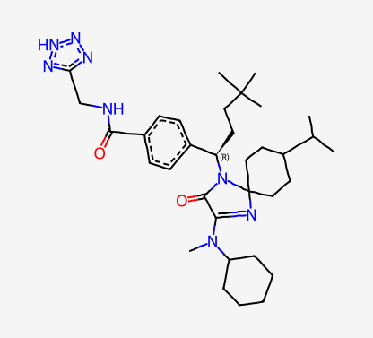 CC(C)C1CCC2(CC1)N=C(N(C)C1CCCCC1)C(=O)N2[C@H](CCC(C)(C)C)c1ccc(C(=O)NCc2nn[nH]n2)cc1